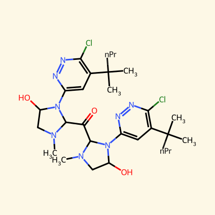 CCCC(C)(C)c1cc(N2C(O)CN(C)C2C(=O)C2N(C)CC(O)N2c2cc(C(C)(C)CCC)c(Cl)nn2)nnc1Cl